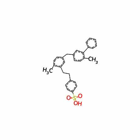 Cc1ccc(Cc2ccc(C)c(-c3ccccc3)c2)cc1CCc1ccc(S(=O)(=O)O)cc1